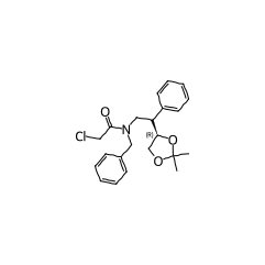 CC1(C)OC[C@@H](C(CN(Cc2ccccc2)C(=O)CCl)c2ccccc2)O1